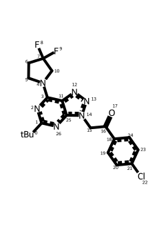 CC(C)(C)c1nc(N2CCC(F)(F)C2)c2nnn(CC(=O)c3ccc(Cl)cc3)c2n1